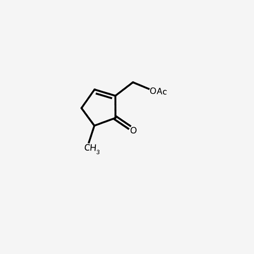 CC(=O)OCC1=CCC(C)C1=O